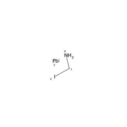 NCI.[Pb]